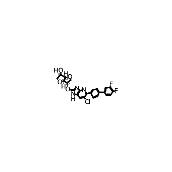 O[C@@H]1CO[C@H]2[C@@H]1OC[C@H]2Oc1nc2nc(-c3ccc(-c4ccc(F)c(F)c4)cc3)c(Cl)cc2[nH]1